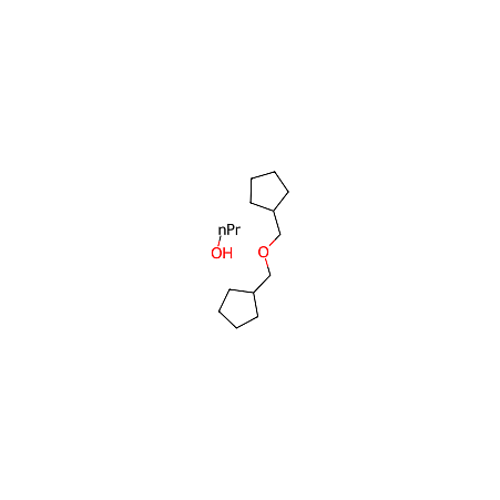 C1CCC(COCC2CCCC2)C1.CCCO